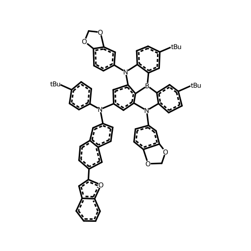 CC(C)(C)c1ccc(N(c2cc3c4c(c2)N(c2ccc5c(c2)OCO5)c2ccc(C(C)(C)C)cc2B4c2cc(C(C)(C)C)ccc2N3c2ccc3c(c2)OCO3)c2ccc3cc(-c4cc5ccccc5o4)ccc3c2)cc1